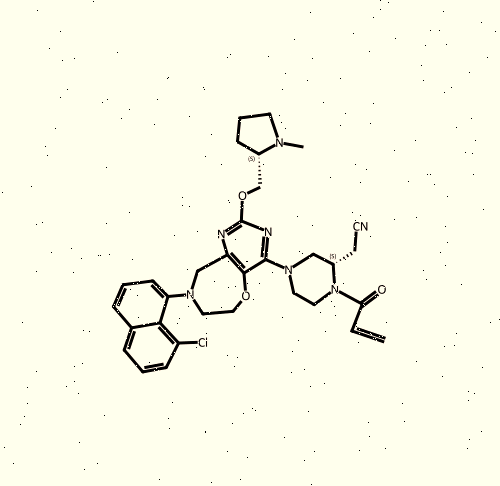 C=CC(=O)N1CCN(c2nc(OC[C@@H]3CCCN3C)nc3c2OCCN(c2cccc4cccc(Cl)c24)C3)C[C@@H]1CC#N